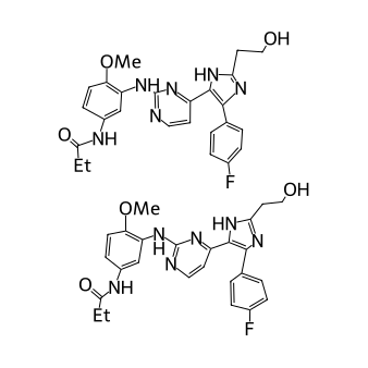 CCC(=O)Nc1ccc(OC)c(Nc2nccc(-c3[nH]c(CCO)nc3-c3ccc(F)cc3)n2)c1.CCC(=O)Nc1ccc(OC)c(Nc2nccc(-c3[nH]c(CCO)nc3-c3ccc(F)cc3)n2)c1